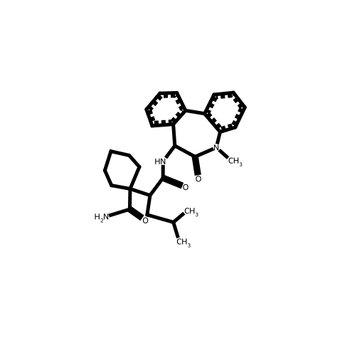 CC(C)CC(C(=O)NC1C(=O)N(C)c2ccccc2-c2ccccc21)C1(C(N)=O)CCCCC1